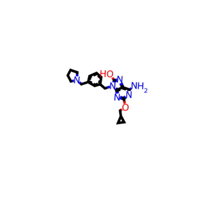 Nc1nc(OCC2CC2)nc2c1nc(O)n2Cc1cccc(CN2CCCC2)c1